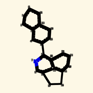 c1ccc2cc(-c3ncc4c5c(cccc35)CC4)ccc2c1